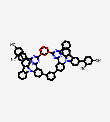 N#Cc1ccc(-c2ccc3c(c2)c2ccccc2n3-c2ccc(-c3cccc(-c4ccc(-n5c6ccccc6c6cc(-c7ccc(C#N)cc7C#N)ccc65)c(-c5nc(-c6ccccc6)nc(-c6ccccc6)n5)c4)c3)cc2-c2nc(-c3ccccc3)nc(-c3ccccc3)n2)c(C#N)c1